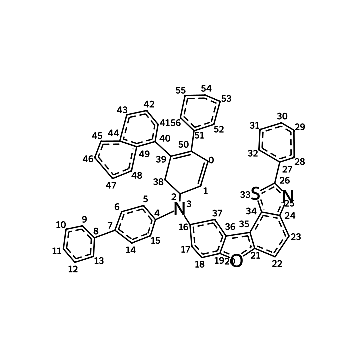 C1=CC(N(c2ccc(-c3ccccc3)cc2)c2ccc3oc4ccc5nc(-c6ccccc6)sc5c4c3c2)CC(c2cccc3ccccc23)=C1c1ccccc1